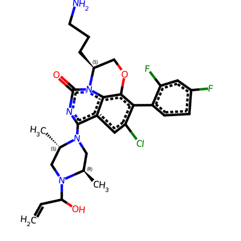 C=CC(O)N1C[C@H](C)N(c2nc(=O)n3c4c(c(-c5ccc(F)cc5F)c(Cl)cc24)OC[C@@H]3CCCN)C[C@H]1C